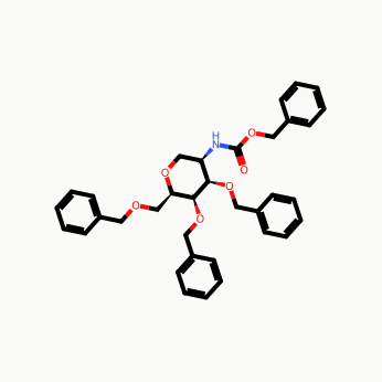 O=C(N[C@@H]1CO[C@H](COCc2ccccc2)[C@H](OCc2ccccc2)[C@@H]1OCc1ccccc1)OCc1ccccc1